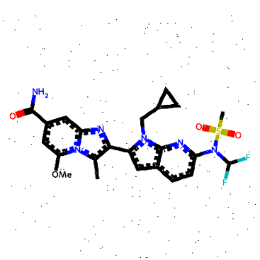 COc1cc(C(N)=O)cc2nc(-c3cc4ccc(N(C(F)F)S(C)(=O)=O)nc4n3CC3CC3)c(C)n12